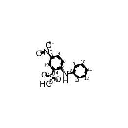 O=[N+]([O-])c1ccc(Nc2ccccc2)c(S(=O)(=O)O)c1